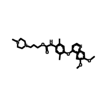 COc1cc2nccc(Oc3cc(C)c(NC(=O)OCCCN4CCN(C)CC4)cc3C)c2cc1OC